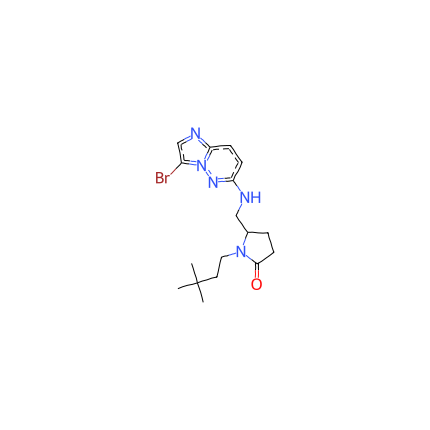 CC(C)(C)CCN1C(=O)CCC1CNc1ccc2ncc(Br)n2n1